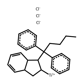 CCCCC(c1ccccc1)(c1ccccc1)C1[CH]([Ti+3])CC2C=CC=CC21.[Cl-].[Cl-].[Cl-]